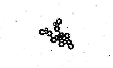 c1ccc2c(c1)-c1ccccc1C21c2ccc3ccccc3c2-c2cccc(-c3c4cccc(-c5ccc6oc7ccccc7c6c5)c4cc4c(-c5ccc6oc7ccccc7c6c5)cccc34)c21